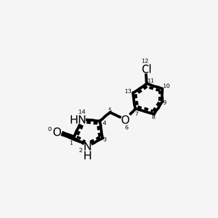 O=c1[nH]cc(COc2cccc(Cl)c2)[nH]1